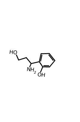 NC(CCO)c1ccccc1O